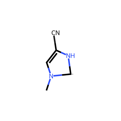 CN1[CH]NC(C#N)=C1